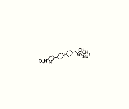 CC(C)(C)[Si](C)(C)OCC1CCC(N2CC=C(c3ccc([N+](=O)[O-])nc3)CC2)CC1